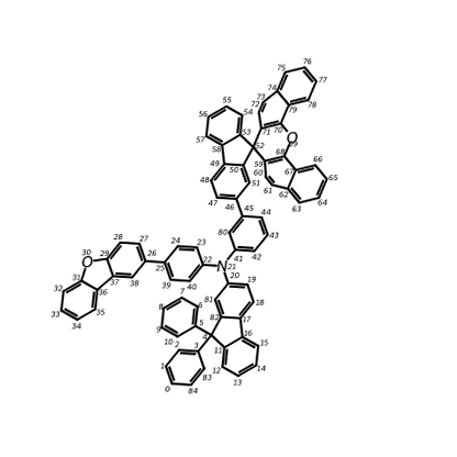 c1ccc(C2(c3ccccc3)c3ccccc3-c3ccc(N(c4ccc(-c5ccc6oc7ccccc7c6c5)cc4)c4cccc(-c5ccc6c(c5)C5(c7ccccc7-6)c6ccc7ccccc7c6Oc6c5ccc5ccccc65)c4)cc32)cc1